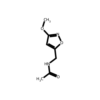 COc1cc(CNC(C)=O)on1